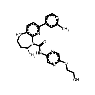 Cc1cc(-c2ccc3c(n2)N(C(=O)Nc2cnc(OCCO)cn2)[C@H](C)CCN3)ccn1